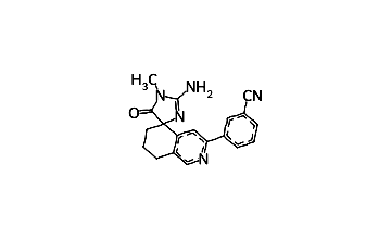 CN1C(=O)C2(CCCc3cnc(-c4cccc(C#N)c4)cc32)N=C1N